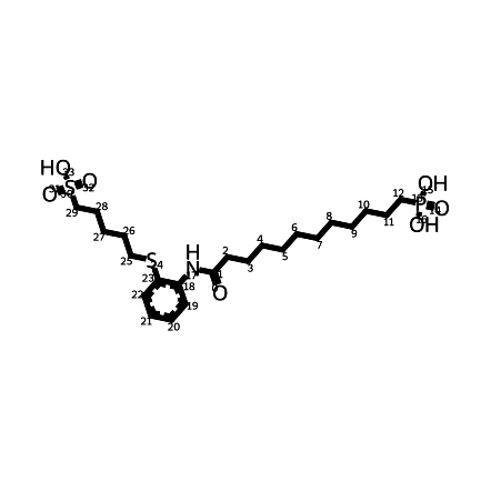 O=C(CCCCCCCCCCCP(=O)(O)O)Nc1ccccc1SCCCCCS(=O)(=O)O